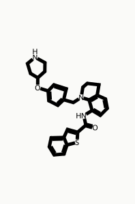 O=C(Nc1cccc2c1N(Cc1ccc(OC3CCNCC3)cc1)CCC2)c1cc2ccccc2s1